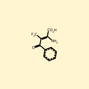 NC(C(=O)O)=C(C(=O)c1ccccc1)C(F)(F)F